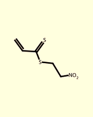 C=CC(=S)SCC[N+](=O)[O-]